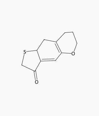 O=C1CSC2CC3=C(C=C12)OCCC3